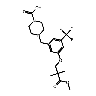 COC(=O)C(C)(C)COc1cc(CN2CCN(C(=O)O)CC2)cc(C(F)(F)F)c1